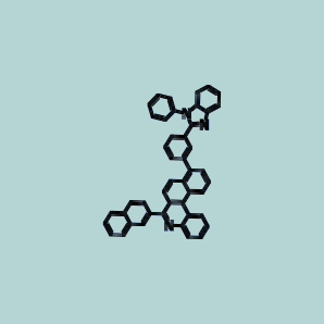 c1ccc(-n2c(-c3cccc(-c4cccc5c4ccc4c(-c6ccc7ccccc7c6)nc6ccccc6c45)c3)nc3ccccc32)cc1